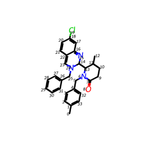 Cc1ccc(CN2C(=O)CCC(C)C2C2N=c3cc(Cl)ccc3=CN2Cc2ccccc2)cc1